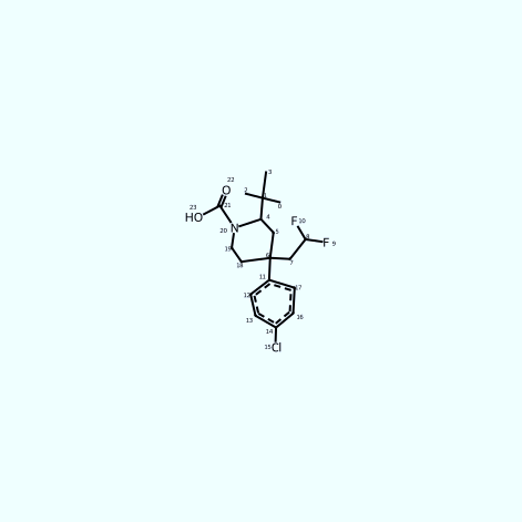 CC(C)(C)C1CC(CC(F)F)(c2ccc(Cl)cc2)CCN1C(=O)O